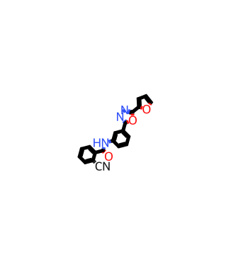 N#Cc1ccccc1C(=O)Nc1cccc(-c2nnc(-c3ccco3)o2)c1